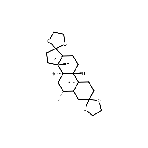 C[C@@H]1C[C@@H]2[C@H](CC[C@@]3(C)[C@H]2CCC32OCCO2)[C@@]2(C)CCC3(CC12)OCCO3